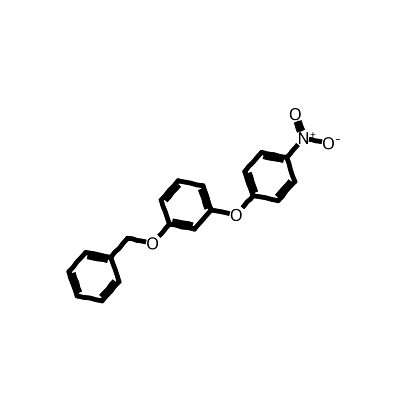 O=[N+]([O-])c1ccc(Oc2cccc(OCc3ccccc3)c2)cc1